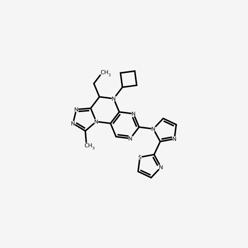 CCC1c2nnc(C)n2-c2cnc(-n3ccnc3-c3nccs3)nc2N1C1CCC1